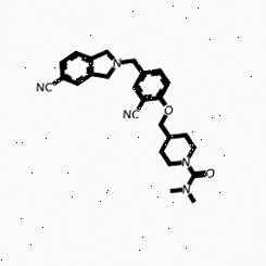 CN(C)C(=O)N1CCC(COc2ccc(CN3Cc4ccc(C#N)cc4C3)cc2C#N)CC1